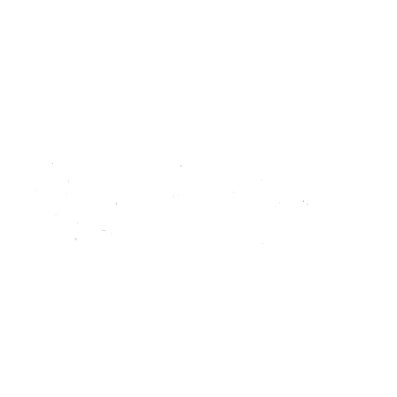 CC(C)CNC(=O)CC1CCC2(CC1)OOC1(OO2)C2CC3CC(C2)CC1C3